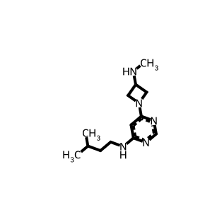 CNC1CN(c2cc(NCCC(C)C)ncn2)C1